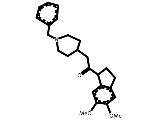 COc1cc2c(cc1OC)C(C(=O)CC1CCN(Cc3ccccc3)CC1)CC2